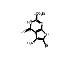 CCOC(=O)c1nc2sc(CC)c(N)c2c(=O)[nH]1